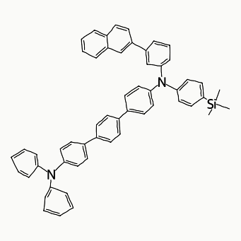 C[Si](C)(C)c1ccc(N(c2ccc(-c3ccc(-c4ccc(N(c5ccccc5)c5ccccc5)cc4)cc3)cc2)c2cccc(-c3ccc4ccccc4c3)c2)cc1